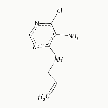 C=CCNc1ncnc(Cl)c1N